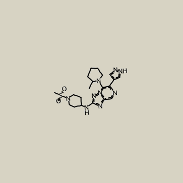 CC1CCCCN1c1c(-c2cn[nH]c2)ncc2nc(NC3CCN(S(C)(=O)=O)CC3)nn12